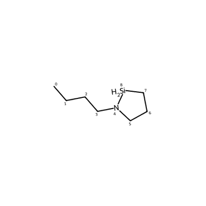 CCCCN1CCC[SiH2]1